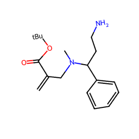 C=C(CN(C)C(CCN)c1ccccc1)C(=O)OC(C)(C)C